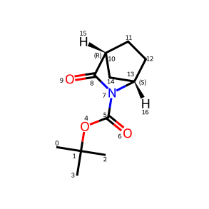 CC(C)(C)OC(=O)N1C(=O)[C@@H]2CC[C@H]1C2